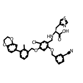 Cc1c(COc2cc(OCc3cccc(C#N)c3)c(CN[C@@H](Cc3cscn3)C(=O)O)cc2Cl)cccc1-c1ccc2c(c1)OCCO2